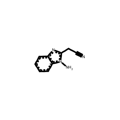 N#CCc1nc2ccccc2n1N